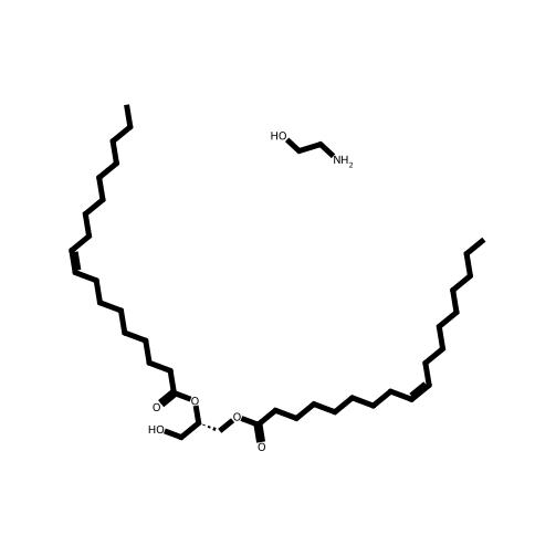 CCCCCCCC/C=C\CCCCCCCC(=O)OC[C@H](CO)OC(=O)CCCCCCC/C=C\CCCCCCCC.NCCO